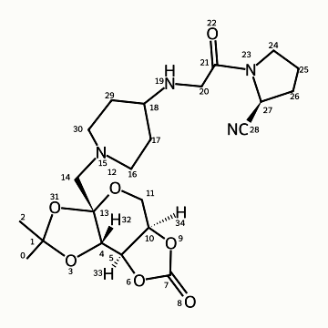 CC1(C)O[C@H]2[C@@H]3OC(=O)O[C@@H]3CO[C@@]2(CN2CCC(NCC(=O)N3CCC[C@H]3C#N)CC2)O1